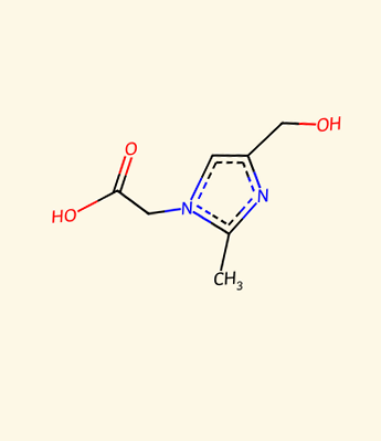 Cc1nc(CO)cn1CC(=O)O